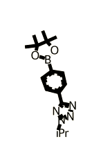 CC(C)n1nnc(-c2ccc(B3OC(C)(C)C(C)(C)O3)cc2)n1